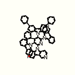 Cc1ccccc1-c1c(-n2c3ccccc3c3cnccc32)c(-n2c3ccccc3c3cnccc32)nc(-n2c3ccccc3c3cnccc32)c1-n1c2ccc(-c3ccccc3)cc2c2cc(-c3ccccc3)ccc21